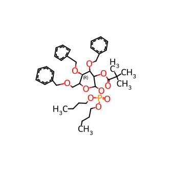 CCCCOP(=O)(OCCCC)OC1OC(COCc2ccccc2)[C@@H](OCc2ccccc2)C(OCc2ccccc2)C1OC(=O)C(C)(C)C